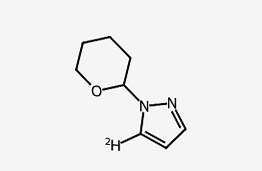 [2H]c1ccnn1C1CCCCO1